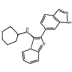 c1ccn2c(NC3CCCCC3)c(-c3ccc4cn[nH]c4c3)nc2c1